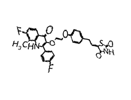 Cc1c(F)ccc2c(=O)c(OCCOc3ccc(CC=C4SC(=O)NC4=O)cc3)c(-c3ccc(F)cc3)[nH]c12